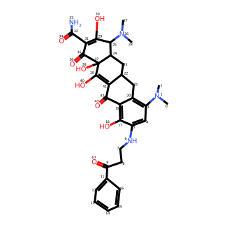 CN(C)c1cc(NCCC(=O)c2ccccc2)c(O)c2c1CC1CC3C(N(C)C)C(O)=C(C(N)=O)C(=O)C3(O)C(O)=C1C2=O